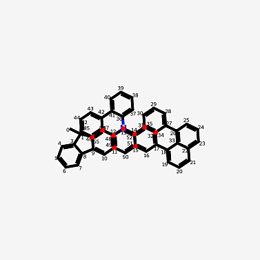 CC1(C)c2ccccc2-c2ccc(N(c3ccc(-c4cccc5cccc(-c6ccccc6)c45)cc3)c3ccccc3-c3ccccc3-c3ccccc3)cc21